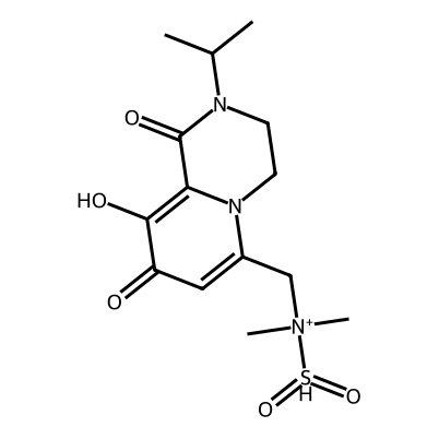 CC(C)N1CCn2c(C[N+](C)(C)[SH](=O)=O)cc(=O)c(O)c2C1=O